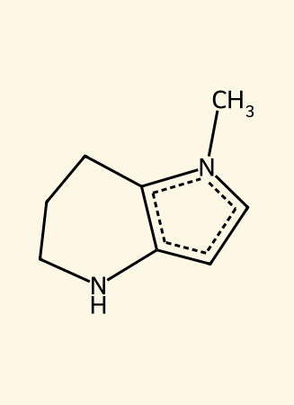 Cn1ccc2c1CCCN2